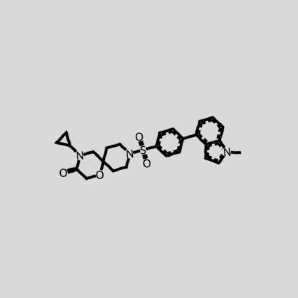 Cn1ccc2c(-c3ccc(S(=O)(=O)N4CCC5(CC4)CN(C4CC4)C(=O)CO5)cc3)cccc21